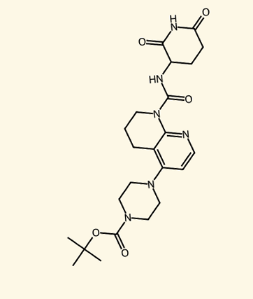 CC(C)(C)OC(=O)N1CCN(c2ccnc3c2CCCN3C(=O)NC2CCC(=O)NC2=O)CC1